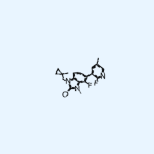 Cc1cnc(F)c(-c2ccc3c(c2F)n(C)c(=O)n3CC2(C)CC2)c1